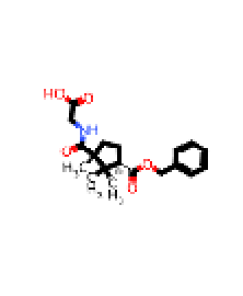 CC1(C)[C@@H](C(=O)OCc2ccccc2)CC[C@@]1(C)C(=O)NCC(=O)O